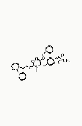 CS(=O)(=O)Oc1ccc(C[C@H](NC(=O)OCC2c3ccccc3-c3ccccc32)C(=O)OCc2ccccc2)cc1